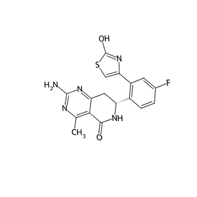 Cc1nc(N)nc2c1C(=O)N[C@@H](c1ccc(F)cc1-c1csc(O)n1)C2